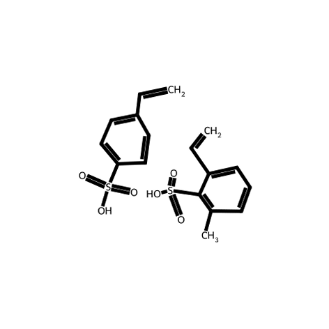 C=Cc1ccc(S(=O)(=O)O)cc1.C=Cc1cccc(C)c1S(=O)(=O)O